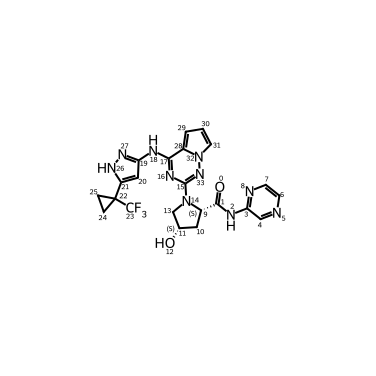 O=C(Nc1cnccn1)[C@@H]1C[C@H](O)CN1c1nc(Nc2cc(C3(C(F)(F)F)CC3)[nH]n2)c2cccn2n1